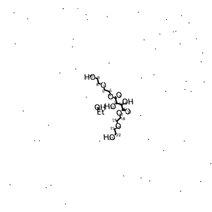 CCO.O=C(OCCOCCO)C(O)C(O)C(=O)OCCOCCO